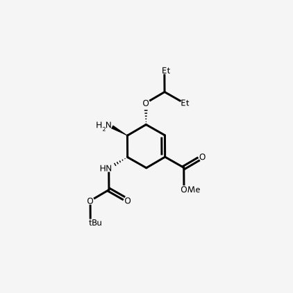 CCC(CC)O[C@@H]1C=C(C(=O)OC)C[C@H](NC(=O)OC(C)(C)C)[C@H]1N